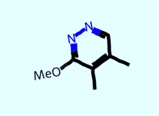 COc1nncc(C)c1C